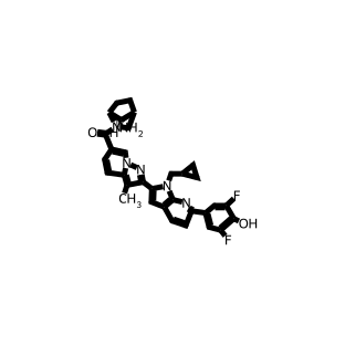 Cc1c(-c2cc3ccc(-c4cc(F)c(O)c(F)c4)nc3n2CC2CC2)nn2cc(C(=O)N3CC4CCC3[C@@H]4N)ccc12